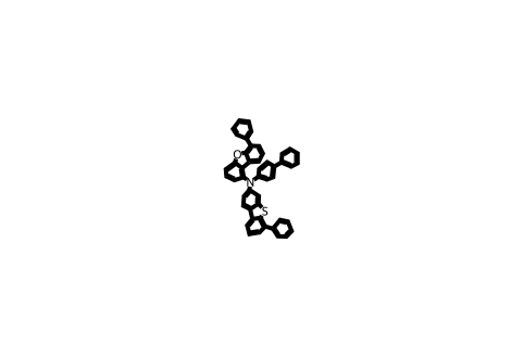 c1ccc(-c2ccc(N(c3ccc4c(c3)sc3c(-c5ccccc5)cccc34)c3cccc4oc5c(-c6ccccc6)cccc5c34)cc2)cc1